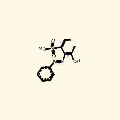 C\C=C(C(/N=N/c1ccccc1)=C(\C)O)\S(=O)(=O)O